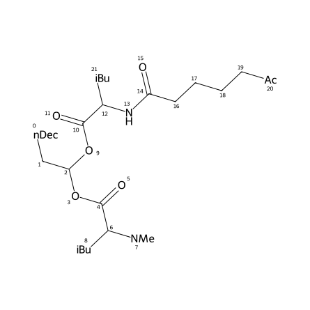 CCCCCCCCCCCC(OC(=O)C(NC)C(C)CC)OC(=O)C(NC(=O)CCCCC(C)=O)C(C)CC